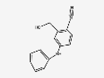 N#[N+]c1ccc(Nc2ccccc2)cc1CO